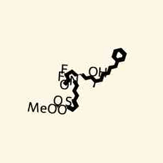 COC(=O)Oc1ccc(CCCN2C(=O)C(F)(F)C[C@@H]2CC[C@@H](O)[C@H](C)CCCCCc2ccccc2)s1